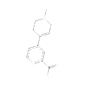 CN1CC=C(c2ccnc(C(=N)N)c2)CC1